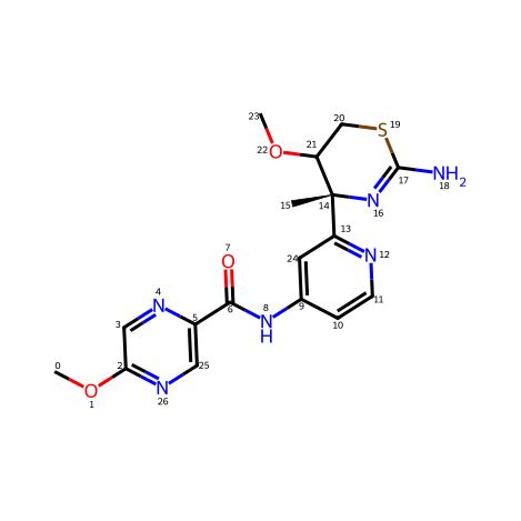 COc1cnc(C(=O)Nc2ccnc([C@@]3(C)N=C(N)SCC3OC)c2)cn1